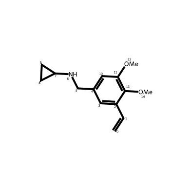 C=Cc1cc(CNC2CC2)cc(OC)c1OC